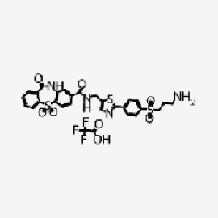 NCCCS(=O)(=O)c1ccc(-c2ncc(CNC(=O)c3ccc4c(c3)NC(=O)c3ccccc3S4(=O)=O)s2)cc1.O=C(O)C(F)(F)F